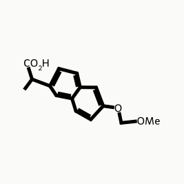 COCOc1ccc2cc(C(C)C(=O)O)ccc2c1